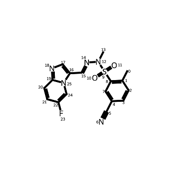 Cc1ccc(C#N)cc1S(=O)(=O)N(C)N=Cc1cnc2ccc(F)cn12